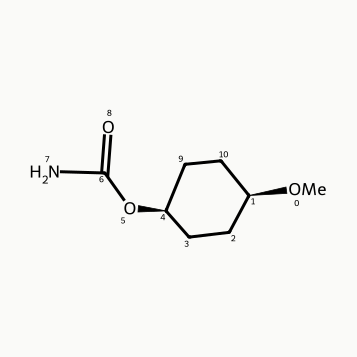 CO[C@H]1CC[C@@H](OC(N)=O)CC1